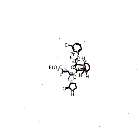 CCOC(=O)/C(F)=C/[C@H](C[C@@H]1CCNC1=O)NC(=O)[C@H]1[C@H]2CC[C@H](CC2(F)F)N1C(=O)[C@H](CC(C)C)Nc1cccc(Cl)c1